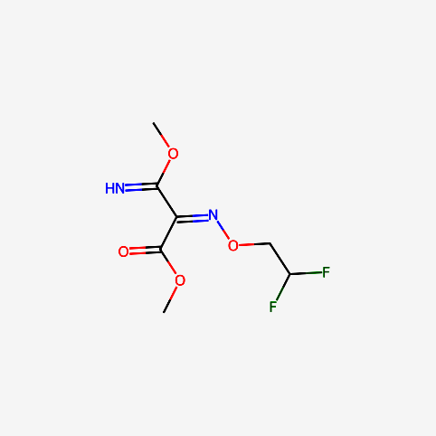 COC(=N)C(=NOCC(F)F)C(=O)OC